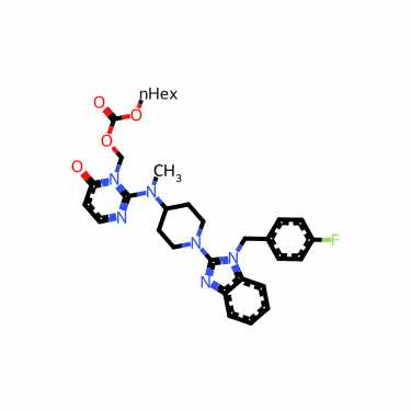 CCCCCCOC(=O)OCn1c(N(C)C2CCN(c3nc4ccccc4n3Cc3ccc(F)cc3)CC2)nccc1=O